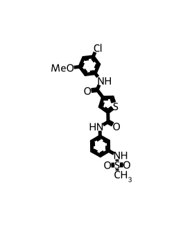 COc1cc(Cl)cc(NC(=O)c2csc(C(=O)Nc3cccc(NS(C)(=O)=O)c3)c2)c1